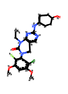 CCN1C(=O)N(c2c(F)c(OC)cc(OC)c2Cl)Cc2cnc(NC3CCC(O)CC3)nc21